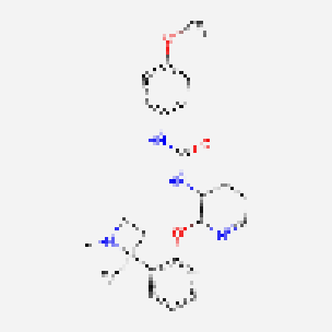 CN1CC[C@]1(c1ccccc1OC1N=CCCC1NC(=O)Nc1ccc(OC(F)(F)F)cc1)C(F)(F)F